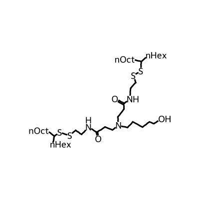 CCCCCCCCC(CCCCCC)SSCCNC(=O)CCN(CCCCCO)CCC(=O)NCCSSC(CCCCCC)CCCCCCCC